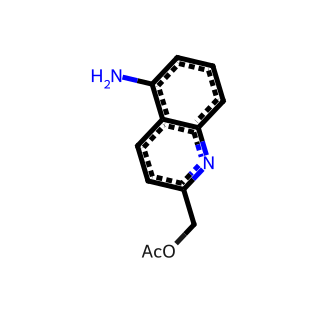 CC(=O)OCc1ccc2c(N)cccc2n1